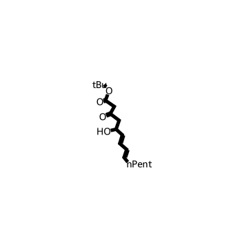 CCCCC/C=C/C=C/C(O)CC(=O)CC(=O)OC(C)(C)C